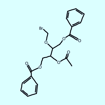 CC(=O)OC(COC(=O)c1ccccc1)C(COC(=O)c1ccccc1)OCBr